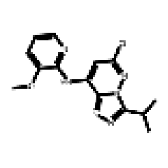 COc1cccnc1Nc1cc(Cl)nn2c(C(C)C)nnc12